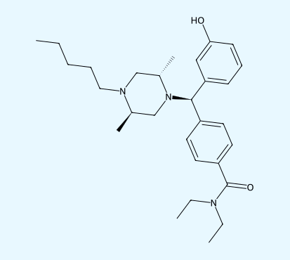 CCCCCN1C[C@H](C)N([C@H](c2ccc(C(=O)N(CC)CC)cc2)c2cccc(O)c2)C[C@H]1C